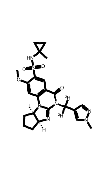 [2H]C([2H])(c1cnn(C)c1)N1C(=O)c2cc(S(=O)(=O)NC3(C)CC3)c(OC)cc2N2C1=N[C@H]1CCC[C@H]12